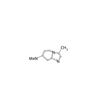 [CH2]Nc1ccn2c(C)cnc2c1